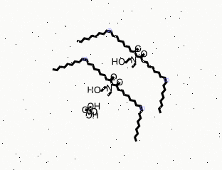 CCCCCCCC/C=C\CCCCCCCC(=O)C(C(=O)CCCCCCC/C=C\CCCCCCCC)N(CC)CCO.CCCCCCCC/C=C\CCCCCCCC(=O)C(C(=O)CCCCCCC/C=C\CCCCCCCC)N(CC)CCO.O=S(=O)(O)O